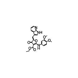 CCOC(=O)C1=C(Nc2ccc(OC)c(OC)c2)OC(=Cc2c[nH]c3ncccc23)C1=O